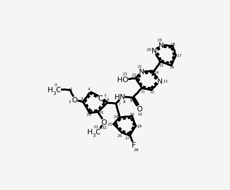 CCOc1ccc(C(NC(=O)c2cnc(-c3cccnn3)nc2O)c2ccc(F)cc2)c(OC)c1